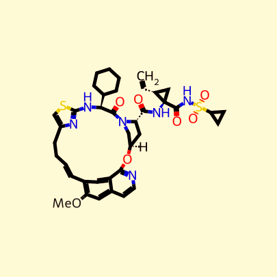 C=C[C@@H]1C[C@]1(NC(=O)[C@@H]1C[C@@H]2CN1C(=O)[C@H](C1CCCCC1)Nc1nc(cs1)CC/C=C/c1cc3c(nccc3cc1OC)O2)C(=O)NS(=O)(=O)C1CC1